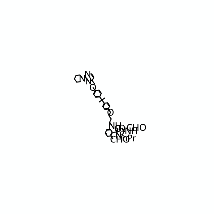 CCCC(C(=O)NC=O)N(C)C(=O)c1c(C=O)cccc1NCCCOc1ccc(C(C)(C)c2ccc(OCc3ccnc(N4CCCCC4)n3)cc2)cc1